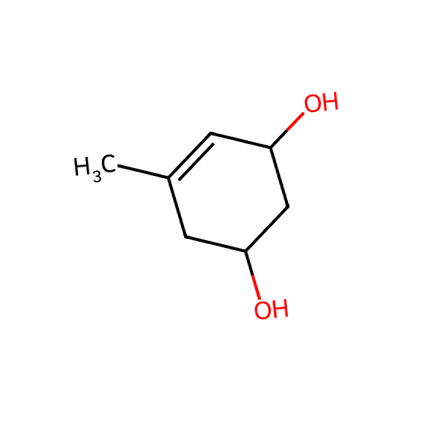 CC1=CC(O)CC(O)C1